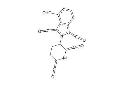 O=C=C1CCC(n2c(=C=O)c3cccc(C=O)c3c2=C=O)C(=C=O)N1